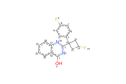 Oc1nc(C2(c3ccc(F)cc3)CC(F)C2)nc2ccccc12